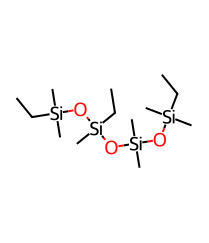 CC[Si](C)(C)O[Si](C)(C)O[Si](C)(CC)O[Si](C)(C)CC